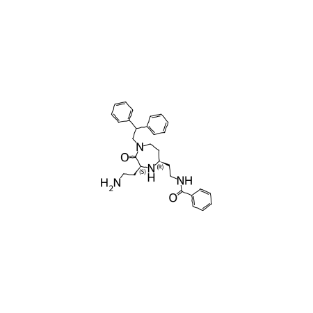 NCC[C@@H]1N[C@H](CCNC(=O)c2ccccc2)CCN(CC(c2ccccc2)c2ccccc2)C1=O